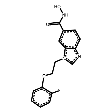 O=C(NO)c1ccc2ncn(CCOc3ccccc3F)c2c1